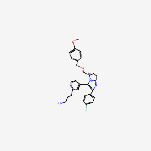 COc1ccc(COC[C@H]2CCc3nc(-c4ccc(F)cc4)c(-c4ccnc(CCCN)c4)n32)cc1